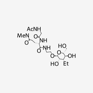 CC[C@@H]1[C@H](O)[C@@H](OCCNC(=O)[C@H](CCC(=O)NC)NC(=O)CNC(C)=O)O[C@H](CO)[C@H]1O